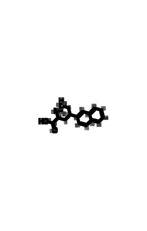 CCC(CC(N)C(=O)O)c1ccc2ccccc2c1